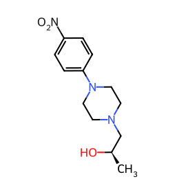 C[C@@H](O)CN1CCN(c2ccc([N+](=O)[O-])cc2)CC1